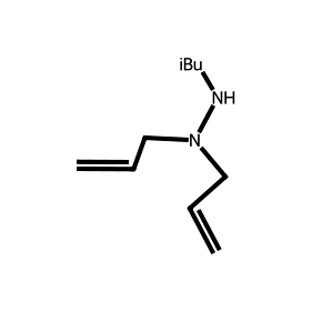 C=CCN(CC=C)NC(C)CC